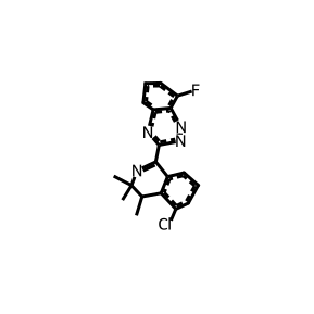 CC1c2c(Cl)cccc2C(c2nnc3c(F)cccc3n2)=NC1(C)C